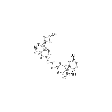 O=C1Nc2ccc(Cl)cc2C12CCN(CCOc1cnc3c(N4CC(O)C4)nncc3c1)CC2